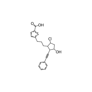 O=C(O)c1ccc(CCCC2C(Cl)CC(O)C2C#Cc2ccccc2)s1